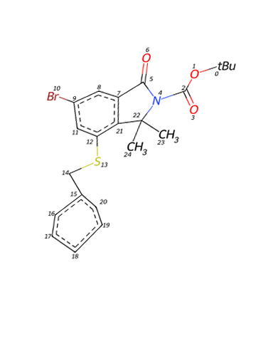 CC(C)(C)OC(=O)N1C(=O)c2cc(Br)cc(SCc3ccccc3)c2C1(C)C